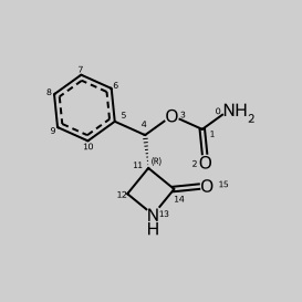 NC(=O)OC(c1ccccc1)[C@H]1CNC1=O